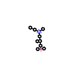 O=P(c1ccccc1)(c1ccccc1)c1ccc(-c2ccc(-c3ccc(-c4nc(-c5ccccc5)nc(-c5ccc(-c6ccccc6)cc5)n4)cc3)c3ccccc23)cc1